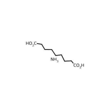 N.O=C(O)CCCCCCCC(=O)O